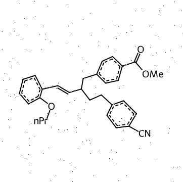 CCCOc1ccccc1/C=C/C(CCc1ccc(C#N)cc1)Cc1ccc(C(=O)OC)cc1